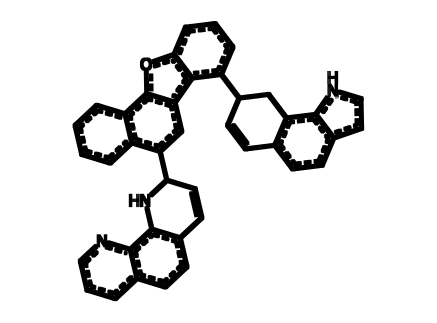 C1=CC(c2cc3c(oc4cccc(C5C=Cc6ccc7cc[nH]c7c6C5)c43)c3ccccc23)Nc2c1ccc1cccnc21